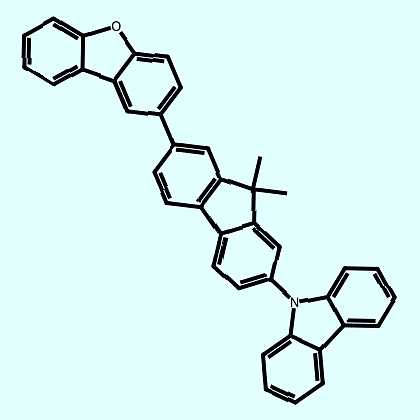 CC1(C)c2cc(-c3ccc4oc5ccccc5c4c3)ccc2-c2ccc(-n3c4ccccc4c4ccccc43)cc21